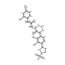 CS(=O)(=O)C1CCN(c2ccc(N3CCC[C@@H](NC(=O)Nc4ccc(Cl)cc4F)C3=O)c(F)c2F)C1